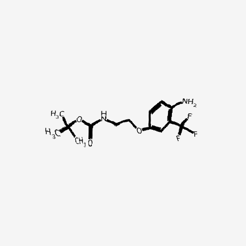 CC(C)(C)OC(=O)NCCOc1ccc(N)c(C(F)(F)F)c1